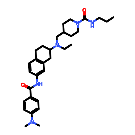 CCCNC(=O)N1CCC(CN(CC)C2CCc3ccc(NC(=O)c4ccc(N(C)C)cc4)cc3C2)CC1